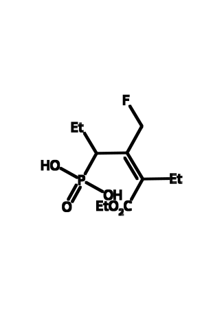 CCOC(=O)C(CC)=C(CF)C(CC)P(=O)(O)O